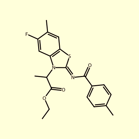 CCOC(=O)C(C)n1c(=NC(=O)c2ccc(C)cc2)sc2cc(C)c(F)cc21